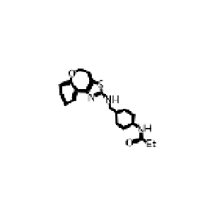 CCC(=O)NC1CCC(CNc2nc3c(s2)CCOc2ccccc2-3)CC1